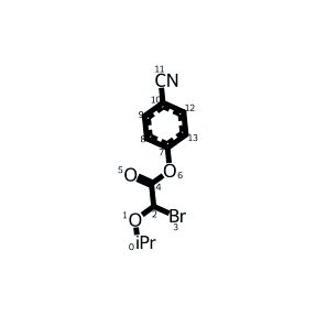 CC(C)OC(Br)C(=O)Oc1ccc(C#N)cc1